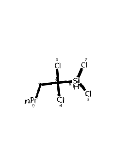 CCCCC(Cl)(Cl)[SiH](Cl)Cl